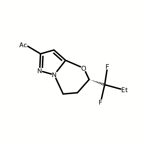 CCC(F)(F)[C@@H]1CCn2nc(C(C)=O)cc2O1